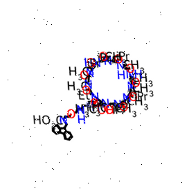 CCC1NC(=O)[C@H]([C@H](O)[C@H](C)C/C=C/CNCCOCCN(CC2c3ccccc3-c3ccccc32)C(=O)O)N(C)C(=O)[C@H](C(C)C)N(C)C(=O)[C@H](CC(C)C)N(C)C(=O)[C@H](CC(C)C)N(C)C(=O)[C@@H](C)NC(=O)[C@H](C)NC(=O)[C@H](CC(C)C)N(C)C(=O)C(C(C)C)NC(=O)C(CC(C)C)N(C)C(=O)CN(C)C1=O